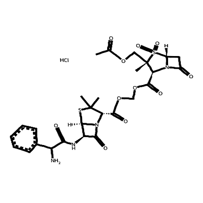 CC(=O)OC[C@@]1(C)[C@H](C(=O)OCOC(=O)[C@@H]2N3C(=O)[C@@H](NC(=O)C(N)c4ccccc4)[C@H]3SC2(C)C)N2C(=O)C[C@H]2S1(=O)=O.Cl